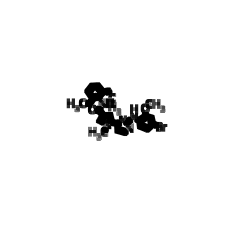 CCc1cccc(CC)c1NC(=O)c1cc(-c2ccnc(Nc3ccc(Br)cc3OC)n2)n(C)c1